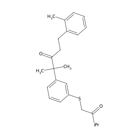 Cc1ccccc1CCC(=O)C(C)(C)c1cccc(SCC(=O)C(C)C)c1